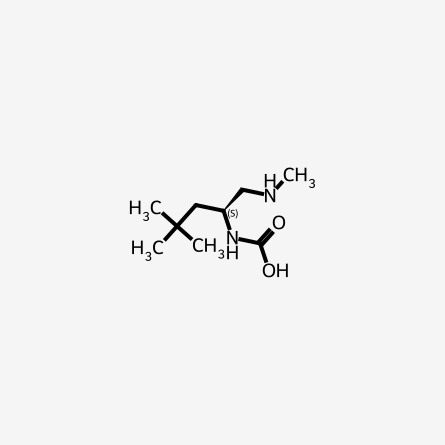 CNC[C@H](CC(C)(C)C)NC(=O)O